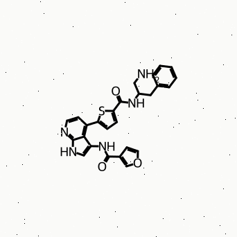 NCC(Cc1ccccc1)NC(=O)c1ccc(-c2ccnc3[nH]cc(NC(=O)c4ccoc4)c23)s1